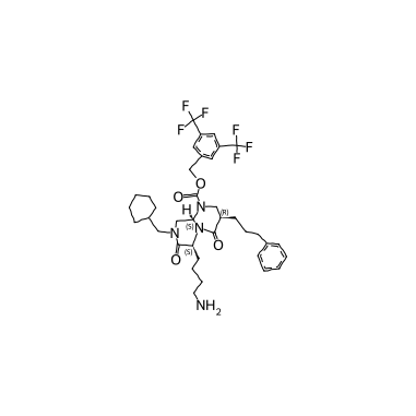 NCCCC[C@H]1C(=O)N(CC2CCCCC2)C[C@@H]2N(C(=O)OCc3cc(C(F)(F)F)cc(C(F)(F)F)c3)C[C@@H](CCCc3ccccc3)C(=O)N21